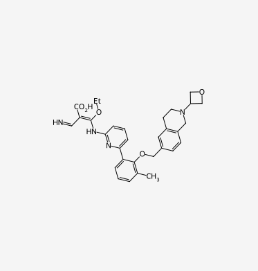 CCO/C(Nc1cccc(-c2cccc(C)c2OCc2ccc3c(c2)CCN(C2COC2)C3)n1)=C(/C=N)C(=O)O